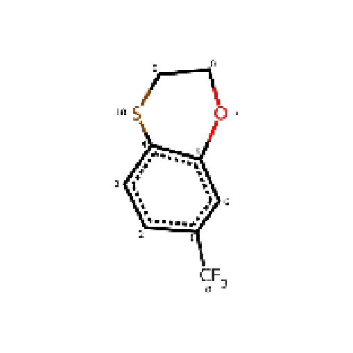 FC(F)(F)c1ccc2c(c1)OCCS2